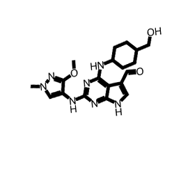 COc1nn(C)cc1Nc1nc(NC2CCC(CO)CC2)c2c(C=O)c[nH]c2n1